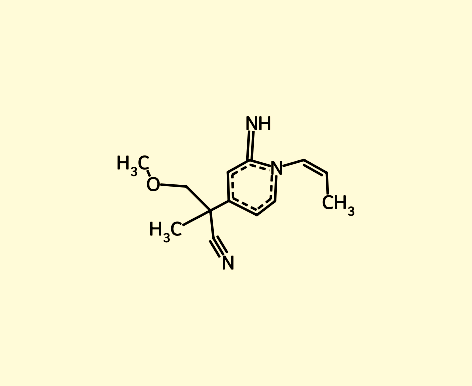 C/C=C\n1ccc(C(C)(C#N)COC)cc1=N